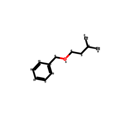 CC[C](CC)CCOCc1ccccc1